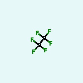 F[Si](F)(F)[Si](F)(F)F